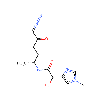 Cn1cnc(C(O)C(=O)NC(CCC(=O)C=[N+]=[N-])C(=O)O)c1